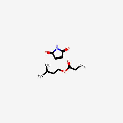 CCC(=O)OCCC(C)C.O=C1C=CC(=O)N1